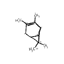 CC1=C(C)CC2C(C1)C2(C)C